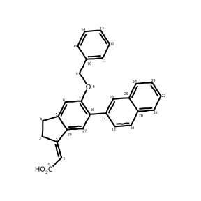 O=C(O)C=C1CCc2cc(OCc3ccccc3)c(-c3ccc4ccccc4c3)cc21